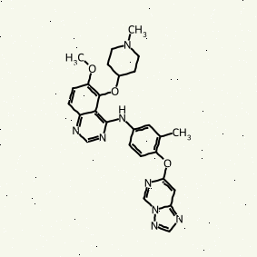 COc1ccc2ncnc(Nc3ccc(Oc4cc5ncnn5cn4)c(C)c3)c2c1OC1CCN(C)CC1